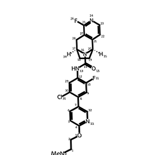 CNCCOc1ccc(-c2cc(F)c(NC(=O)N3[C@H]4CC[C@@H]3c3ccnc(F)c3C4)cc2Cl)cn1